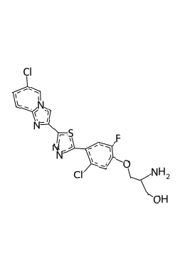 NC(CO)COc1cc(Cl)c(-c2nnc(-c3cn4cc(Cl)ccc4n3)s2)cc1F